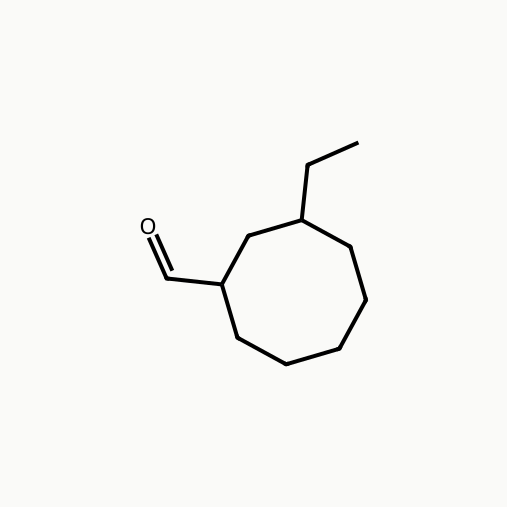 CCC1CCCCCC(C=O)C1